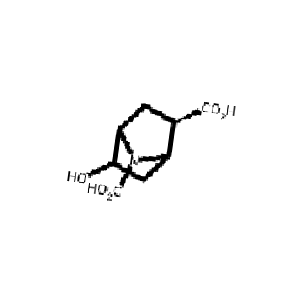 O=C(O)[C@@H]1CC2C(O)CC1N2C(=O)O